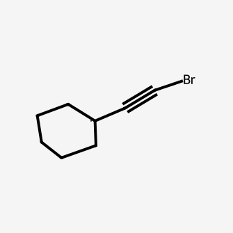 BrC#C[C]1CCCCC1